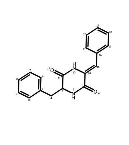 O=C1NC(Cc2ccccc2)C(=O)N/C1=C\c1ccccc1